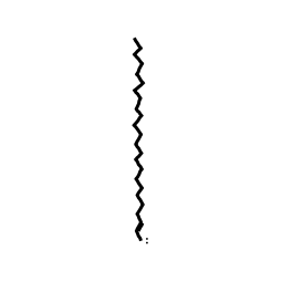 [CH]C=CCCCCCCCCCCCCCCCCCCCCC